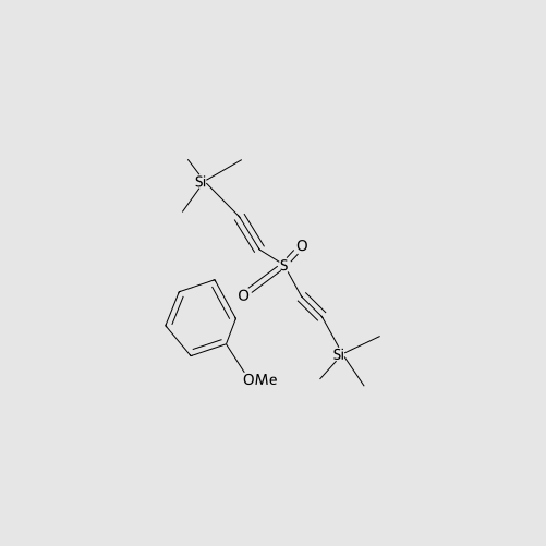 COc1ccccc1.C[Si](C)(C)C#CS(=O)(=O)C#C[Si](C)(C)C